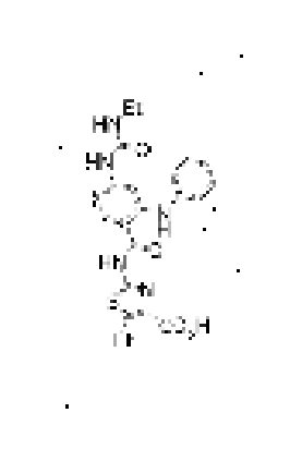 CCNC(=O)Nc1cc(Nc2ccccc2)c(C(=O)Nc2nc(C(=O)O)c(CC)s2)cn1